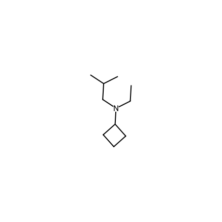 CCN(CC(C)C)C1CCC1